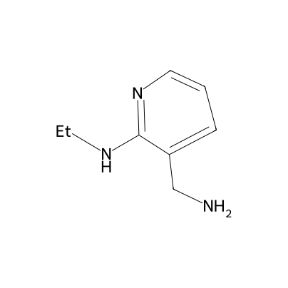 CCNc1ncccc1CN